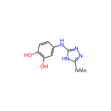 CNc1nnc(Nc2ccc(O)c(O)c2)[nH]1